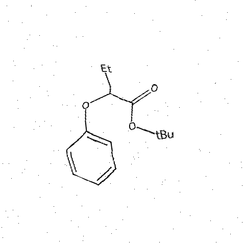 CCC(Oc1ccccc1)C(=O)OC(C)(C)C